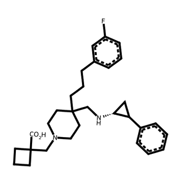 O=C(O)C1(CN2CCC(CCCc3cccc(F)c3)(CN[C@@H]3CC3c3ccccc3)CC2)CCC1